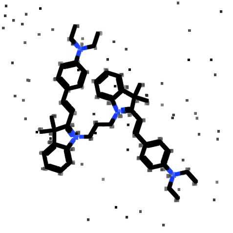 CCN(CC)c1ccc(C=CC2=[N+](CCC[N+]3=C(C=Cc4ccc(N(CC)CC)cc4)C(C)(C)c4ccccc43)c3ccccc3C2(C)C)cc1